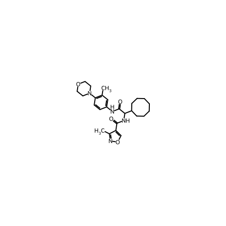 Cc1cc(NC(=O)C(NC(=O)c2conc2C)C2CCCCCCC2)ccc1N1CCOCC1